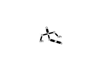 CCCOP(=O)(N=C=S)OCCC